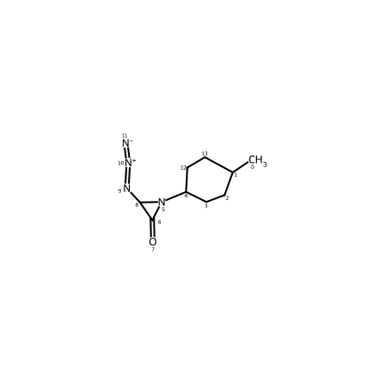 CC1CCC(N2C(=O)C2N=[N+]=[N-])CC1